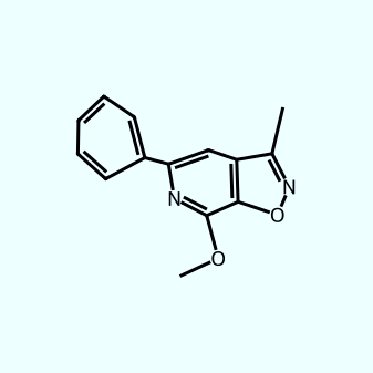 COc1nc(-c2ccccc2)cc2c(C)noc12